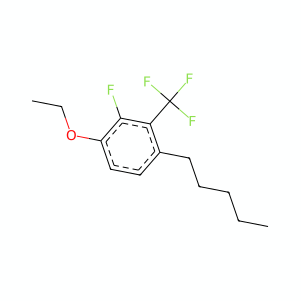 CCCCCc1ccc(OCC)c(F)c1C(F)(F)F